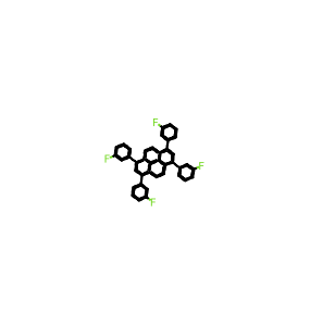 Fc1cccc(-c2cc(-c3cccc(F)c3)c3ccc4c(-c5cccc(F)c5)cc(-c5cccc(F)c5)c5ccc2c3c54)c1